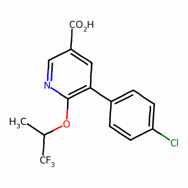 CC(Oc1ncc(C(=O)O)cc1-c1ccc(Cl)cc1)C(F)(F)F